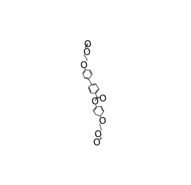 O=COCCOc1ccc(-c2ccc(C(=O)OC3=CCC(OCCOC=O)C=C3)cc2)cc1